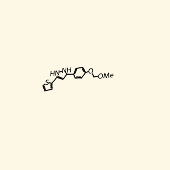 COCOc1ccc(C2C=C(c3cccs3)NN2)cc1